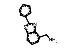 NCc1cccc2sc(-c3ccccc3)nc12